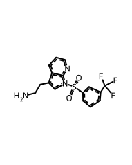 NCCc1cn(S(=O)(=O)c2cccc(C(F)(F)F)c2)c2ncccc12